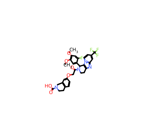 COc1cc(F)c(C2c3c(nc4cc(C(F)(F)F)ccn34)CCN2C(=O)COc2ccc3c(c2)CN(C(=O)O)CC3)cc1OC